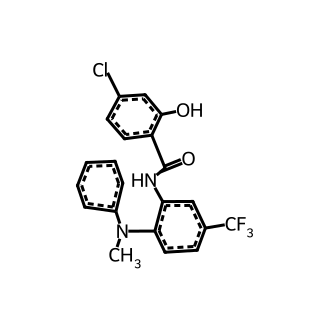 CN(c1ccccc1)c1ccc(C(F)(F)F)cc1NC(=O)c1ccc(Cl)cc1O